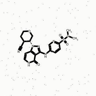 CN(C)S(=O)(=O)c1ccc(Nc2nn([C@H]3COCCC3C#N)c3cc[nH]c(=O)c23)cn1